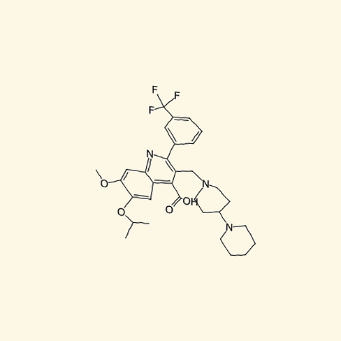 COc1cc2nc(-c3cccc(C(F)(F)F)c3)c(CN3CCC(N4CCCCC4)CC3)c(C(=O)O)c2cc1OC(C)C